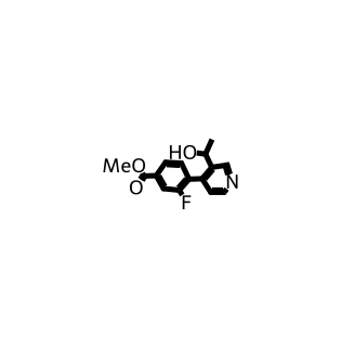 COC(=O)c1ccc(-c2ccncc2C(C)O)c(F)c1